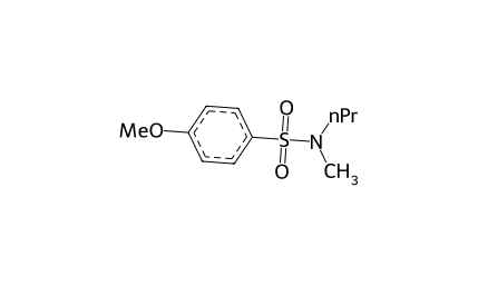 CCCN(C)S(=O)(=O)c1ccc(OC)cc1